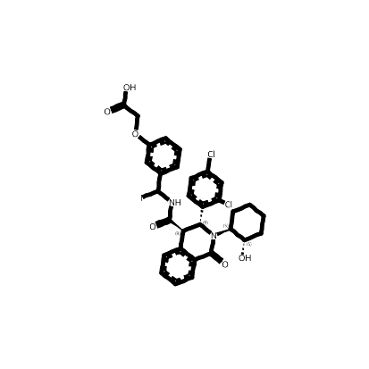 O=C(O)COc1cccc(C(I)NC(=O)[C@@H]2c3ccccc3C(=O)N([C@H]3CCCC[C@@H]3O)[C@H]2c2ccc(Cl)cc2Cl)c1